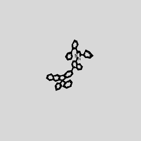 c1ccc(-c2cc(-c3ccccc3-c3ccccc3)nc(-c3ccc(-c4ccc5c(c4)-c4cc6ccccc6cc4C5(c4ccccc4)c4ccccc4)c4ccccc34)n2)cc1